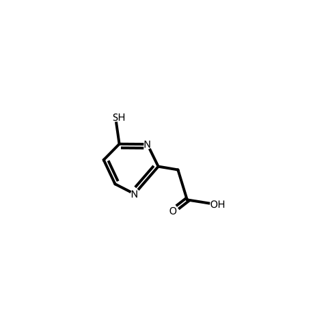 O=C(O)Cc1nccc(S)n1